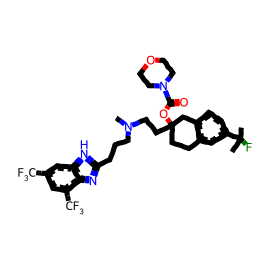 CN(CCCc1nc2c(C(F)(F)F)cc(C(F)(F)F)cc2[nH]1)CCC1(OC(=O)N2CCOCC2)CCc2cc(C(C)(C)F)ccc2C1